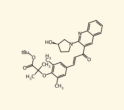 Cc1cc(/C=C/C(=O)c2cc3ccccc3nc2N2CC[C@@H](O)C2)cc(C)c1OC(C)(C)C(=O)OC(C)(C)C